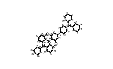 c1ccc(N(c2ccccc2)c2ccc(-c3cc4c5c(c3)Oc3cccc6c3B5c3c(cccc3N6c3ccccc3)O4)cc2)cc1